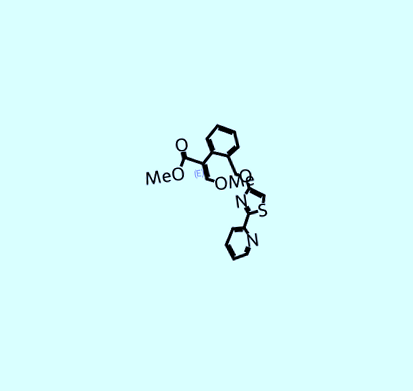 CO/C=C(/C(=O)OC)c1ccccc1COc1csc(-c2ccccn2)n1